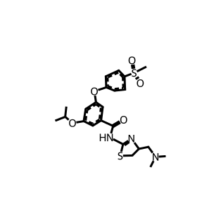 CC(C)Oc1cc(Oc2ccc(S(C)(=O)=O)cc2)cc(C(=O)NC2=NC(CN(C)C)CS2)c1